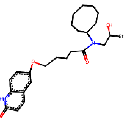 CCC(O)CN(C(=O)CCCCOc1ccc2[nH]c(=O)ccc2c1)C1CCCCCCC1